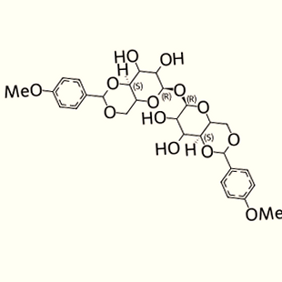 COc1ccc(C2OCC3O[C@H](O[C@H]4OC5COC(c6ccc(OC)cc6)O[C@H]5C(O)C4O)C(O)C(O)[C@@H]3O2)cc1